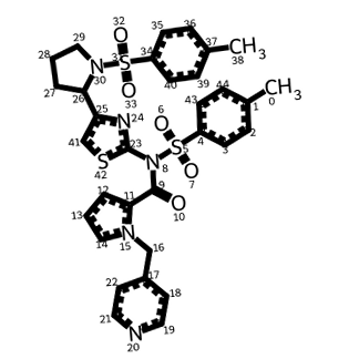 Cc1ccc(S(=O)(=O)N(C(=O)c2cccn2Cc2ccncc2)c2nc(C3CCCN3S(=O)(=O)c3ccc(C)cc3)cs2)cc1